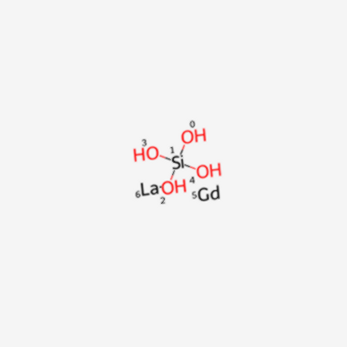 O[Si](O)(O)O.[Gd].[La]